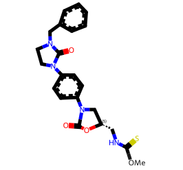 COC(=S)NC[C@H]1CN(c2ccc(N3CCN(Cc4ccccc4)C3=O)cc2)C(=O)O1